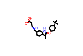 Cc1c(O[C@H]2CC[C@H](C(C)(C)C)CC2)[nH]c2cc(CNCCC(=O)O)ccc12